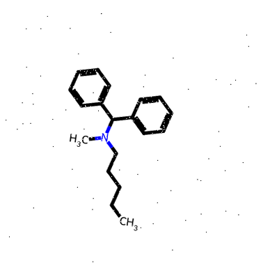 CCCCCN(C)C(c1ccccc1)c1ccccc1